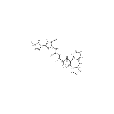 C[C@H](CC(=O)Nc1sc(-c2ccn(C)n2)nc1Cl)C(=O)N[C@@H]1C(=O)N2CCCN2Cc2ccccc21